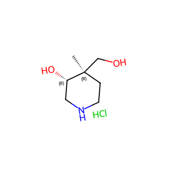 C[C@]1(CO)CCNC[C@@H]1O.Cl